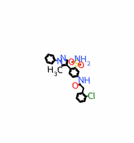 Cc1c(-c2ccc(NC(=O)Cc3ccccc3Cl)cc2S(N)(=O)=O)cnn1-c1ccccc1